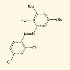 CC(C)(C)c1cc(N=Nc2ccc(Cl)cc2Cl)c(O)c(C(C)(C)C)c1